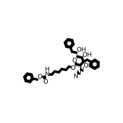 [N-]=[N+]=N[C@@H]1[C@@H](OCCCCCCNC(=O)OCc2ccccc2)O[C@H](C(O)Cc2ccccc2)[C@@H](O)[C@@]1(O)Cc1ccccc1